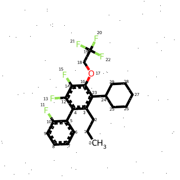 CCCc1c(-c2ccccc2F)c(F)c(F)c(OCC(F)(F)F)c1C1CCCCC1